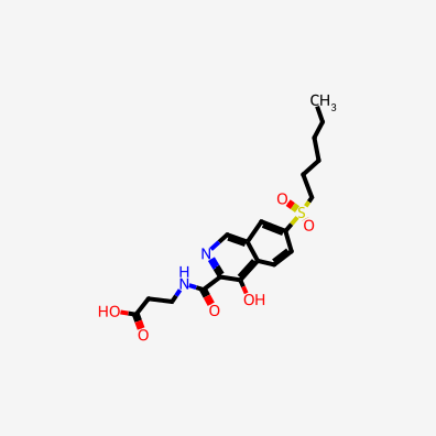 CCCCCCS(=O)(=O)c1ccc2c(O)c(C(=O)NCCC(=O)O)ncc2c1